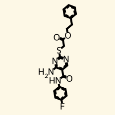 Nc1nc(SCC(=O)OCCc2ccccc2)ncc1C(=O)Nc1ccc(F)cc1